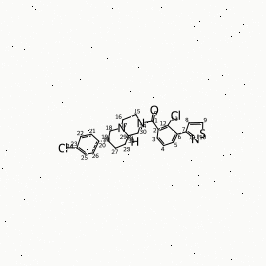 O=C(c1cccc(-c2ccsn2)c1Cl)N1CCN2C[C@@H](c3ccc(Cl)cc3)CC[C@@H]2C1